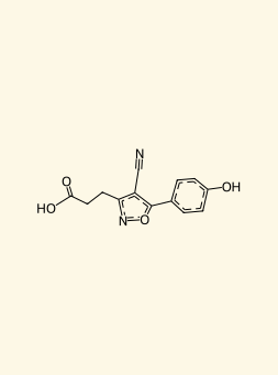 N#Cc1c(CCC(=O)O)noc1-c1ccc(O)cc1